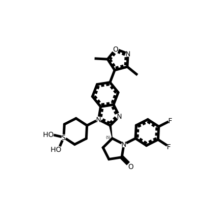 Cc1noc(C)c1-c1ccc2c(c1)nc([C@@H]1CCC(=O)N1c1ccc(F)c(F)c1)n2C1CCS(O)(O)CC1